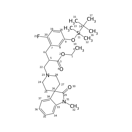 CCOC(=O)C(Cc1cc(O[Si](C)(C)C(C)(C)C)ccc1F)CN1CCC2(CC1)C(=O)N(C)c1ccccc12